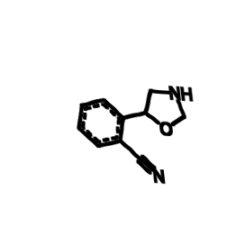 N#Cc1ccccc1C1CNCO1